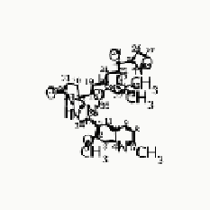 COc1cc2nc(C)ccc2cc1-c1cnc(C2(CC=CCCC(=O)c3ccon3)CCC(=O)N2)n1COCC[Si](C)(C)C